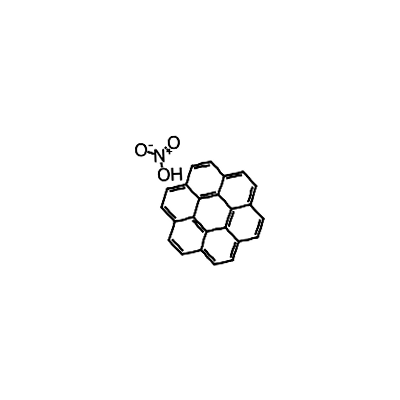 O=[N+]([O-])O.c1cc2ccc3ccc4ccc5ccc6ccc1c1c2c3c4c5c61